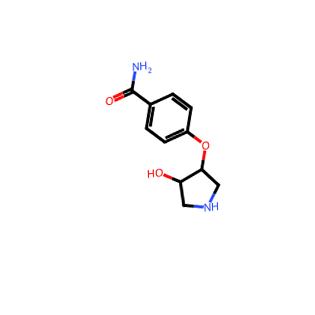 NC(=O)c1ccc(OC2CNCC2O)cc1